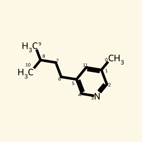 Cc1cncc(CCC(C)C)c1